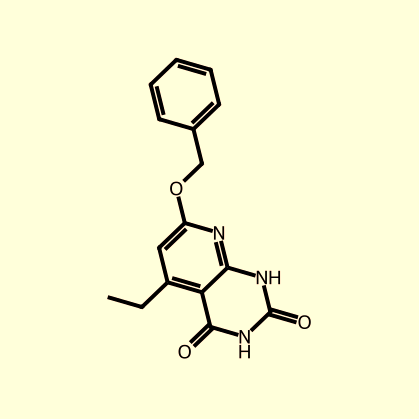 CCc1cc(OCc2ccccc2)nc2[nH]c(=O)[nH]c(=O)c12